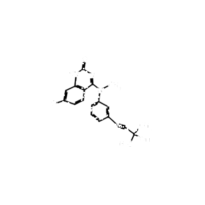 CN(c1cccc(C#CC(C)(C)O)c1)c1nc(=O)[nH]c2cc(Cl)ccc12